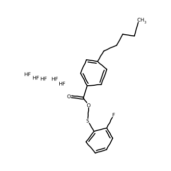 CCCCCc1ccc(C(=O)OSc2ccccc2F)cc1.F.F.F.F.F